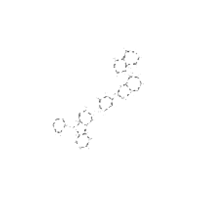 c1ccc(-n2c3ccccc3c3cc(-c4ccc(-c5nc6cccc(-c7cccc8ccccc78)c6o5)cc4)ccc32)cc1